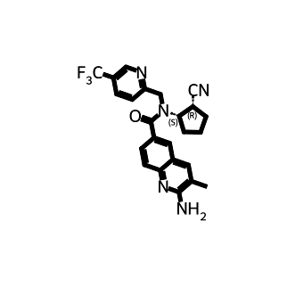 Cc1cc2cc(C(=O)N(Cc3ccc(C(F)(F)F)cn3)[C@H]3CCC[C@H]3C#N)ccc2nc1N